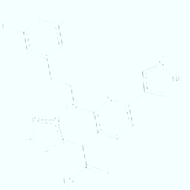 NC(=O)C(c1cc[nH]n1)c1ccc(-c2cn[nH]c2)nc1NCCc1cccc(F)c1